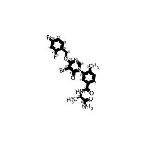 Cc1ccc(C(=O)N[C@H](C)C(N)=O)cc1-n1cnc(OCc2ccc(F)cc2F)c(Br)c1=O